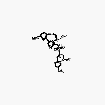 CCCOC[C@H](Cc1ncc(C)cn1)S(=O)(=O)Nc1nnc2n1[C@@H](COC)COc1ccc(OC)cc1-2